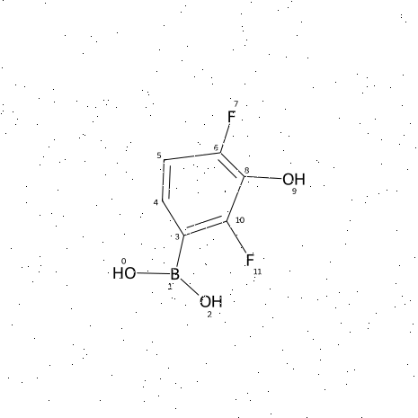 OB(O)c1ccc(F)c(O)c1F